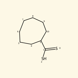 S=C(S)C1CCCCCCC1